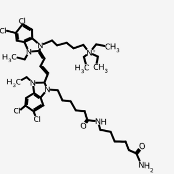 CCN1C(=CC=CC2N(CC)c3cc(Cl)c(Cl)cc3N2CCCCCC(=O)NCCCCCC(N)=O)N(CCCCC[N+](CC)(CC)CC)c2cc(Cl)c(Cl)cc21